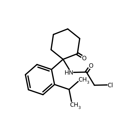 CC(C)c1ccccc1C1(NC(=O)CCl)CCCCC1=O